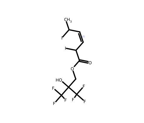 CC(I)/C=C\C(I)C(=O)OCC(O)(C(F)(F)F)C(F)(F)F